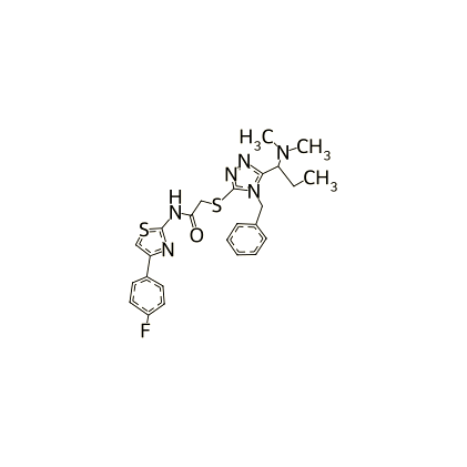 CCC(c1nnc(SCC(=O)Nc2nc(-c3ccc(F)cc3)cs2)n1Cc1ccccc1)N(C)C